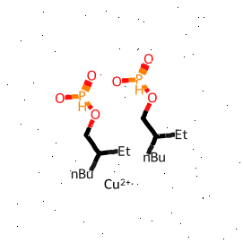 CCCCC(CC)CO[PH](=O)[O-].CCCCC(CC)CO[PH](=O)[O-].[Cu+2]